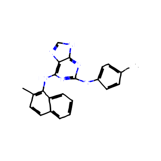 Cc1ccc2ccccc2c1Nc1nc(Nc2ccc(C#N)cc2)nc2[nH]cnc12